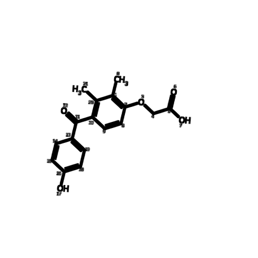 Cc1c(OCC(=O)O)ccc(C(=O)c2ccc(O)cc2)c1C